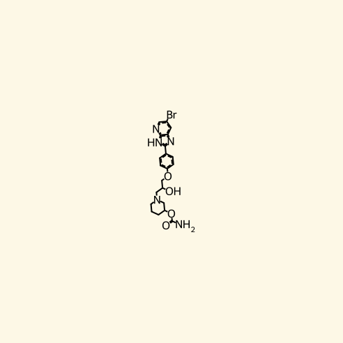 NC(=O)OC1CCCN(CC(O)COc2ccc(-c3nc4cc(Br)cnc4[nH]3)cc2)C1